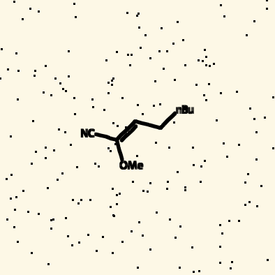 CCCCCC=C(C#N)OC